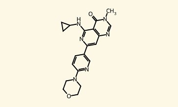 Cn1cnc2cc(-c3ccc(N4CCOCC4)nc3)nc(NC3CC3)c2c1=O